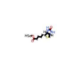 O=C1N[C@H]2[C@H](CS[C@H]2CCCCC(=O)O[SeH])N1